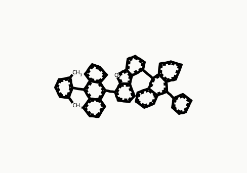 Cc1cccc(C)c1-c1c2ccccc2c(-c2cccc3c2oc2cccc(-c4c5ccccc5c(-c5ccccc5)c5ccccc45)c23)c2ccccc12